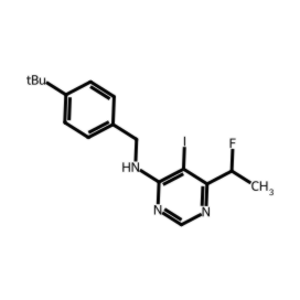 CC(F)c1ncnc(NCc2ccc(C(C)(C)C)cc2)c1I